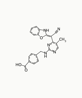 Cc1cnc(NCc2ccc(C(=O)O)cc2)nc1C(C#N)=C1Nc2ccccc2O1